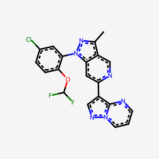 Cc1nn(-c2cc(Cl)ccc2OC(F)F)c2cc(-c3cnn4cccnc34)ncc12